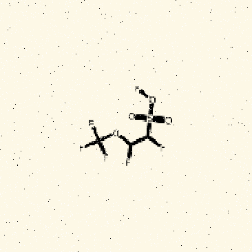 O=S(=O)(OF)C(F)C(F)OC(F)(F)F